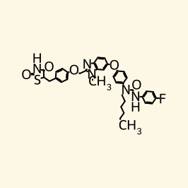 CCCCCCN(C(=O)Nc1ccc(F)cc1)c1ccc(Oc2ccc3nc(COc4ccc(CC5SC(=O)NC5=O)cc4)n(C)c3c2)cc1